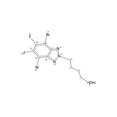 CCCCCCCCCCCCCCn1nc2c(Br)c(F)c(F)c(Br)c2n1